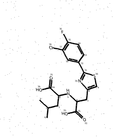 CC(C)CC(NC(Cc1csc(-c2ccc(F)c(Cl)c2)n1)C(=O)O)C(=O)O